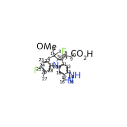 COCC(C)(C)c1c([C@H](F)CC(=O)O)c2cc3[nH]ncc3cc2n1-c1ccc(F)c(C)c1